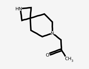 CC(=O)CN1CCC2(CC1)CNC2